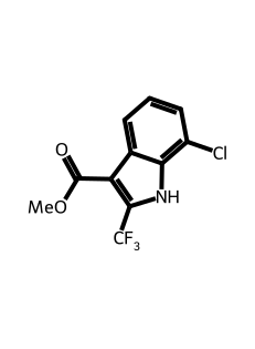 COC(=O)c1c(C(F)(F)F)[nH]c2c(Cl)cccc12